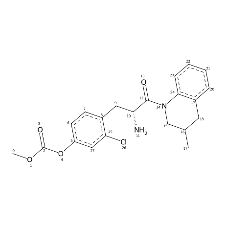 COC(=O)Oc1ccc(C[C@@H](N)C(=O)N2CC(C)Cc3ccccc32)c(Cl)c1